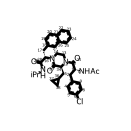 CC(=O)N[C@H](Cc1ccc(Cl)cc1)C(=O)N1CCN([C@@H](Cc2ccc3ccccc3c2)C(=O)NC(C)C)C(=O)[C@@H]1CC1CC1